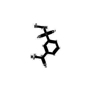 CCNS(=O)(=O)c1cccc(C(N)=O)c1